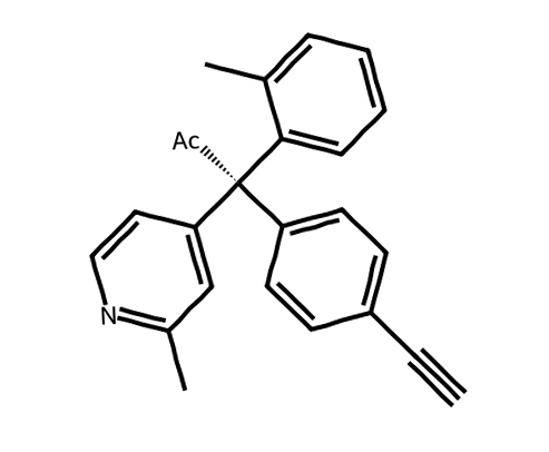 C#Cc1ccc([C@@](C(C)=O)(c2ccnc(C)c2)c2ccccc2C)cc1